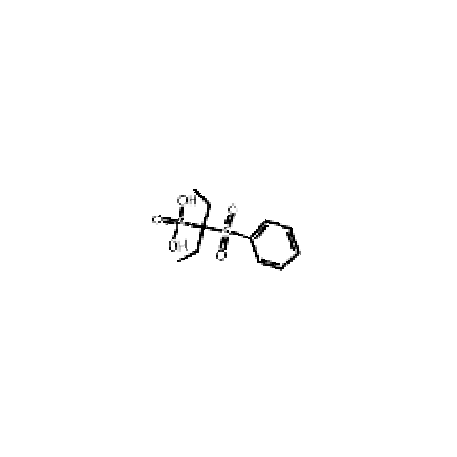 CCC(CC)(P(=O)(O)O)S(=O)(=O)c1ccccc1